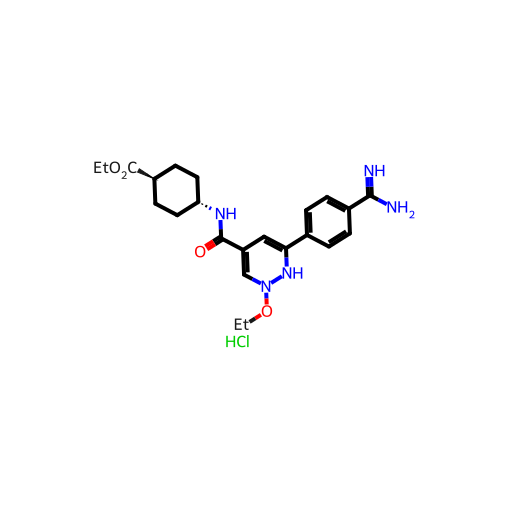 CCOC(=O)[C@H]1CC[C@H](NC(=O)C2=CN(OCC)NC(c3ccc(C(=N)N)cc3)=C2)CC1.Cl